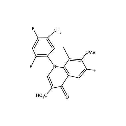 COc1c(F)cc2c(=O)c(C(=O)O)cn(-c3cc(N)c(F)cc3F)c2c1C